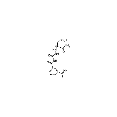 CC(=N)c1cccc(C(=O)NC(=O)NN[C@@H](CC(=O)O)C(N)=O)c1